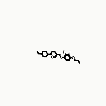 CCCOc1ccc(OCC2CCC(C3CCC(CC)CC3)OC2)c(F)c1F